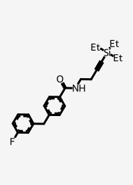 CC[Si](C#CCCNC(=O)c1ccc(Cc2cccc(F)c2)cc1)(CC)CC